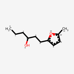 CCCC(O)CCc1ccc(C)o1